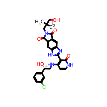 CC(C)(CO)CN1C(=O)c2cc3nc(-c4c(NC[C@@H](O)c5cccc(Cl)c5)cc[nH]c4=O)[nH]c3cc2C1=O